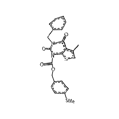 CSc1ccc(COC(=O)n2c(=O)n(Cc3ccccc3)c(=O)c3c(C)csc32)cc1